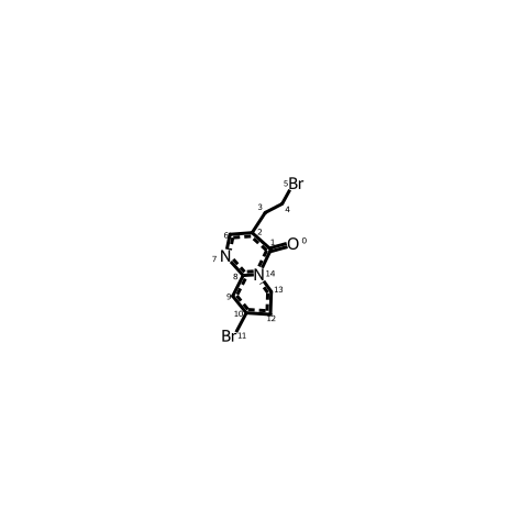 O=c1c(CCBr)cnc2cc(Br)ccn12